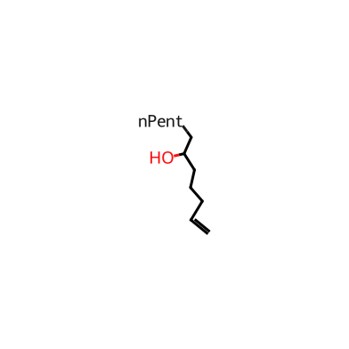 C=CCCCC(O)CCCCCC